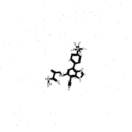 C=C(CNc1cc(-c2ccc(S(F)(F)(F)(F)F)cc2)c2ncsc2c1C#N)C(=O)NO